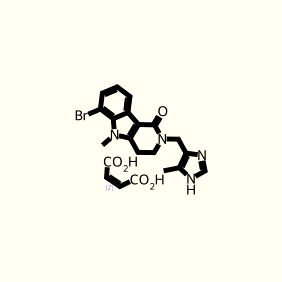 Cc1[nH]cnc1CN1CCc2c(c3cccc(Br)c3n2C)C1=O.O=C(O)/C=C\C(=O)O